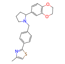 Cc1csc(-c2ccc(CN3CCCC3c3ccc4c(c3)OCCO4)cc2)n1